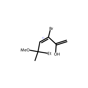 C=C(O)/C(Br)=C\C(C)(CC)OC